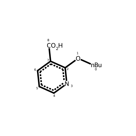 CCCCOc1ncccc1C(=O)O